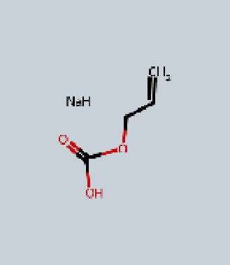 C=CCOC(=O)O.[NaH]